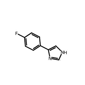 Fc1ccc(-c2c[nH][c]n2)cc1